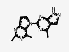 Cc1nc(C)c2c(ccn2-c2nc(C)c3cn[nH]c3n2)n1